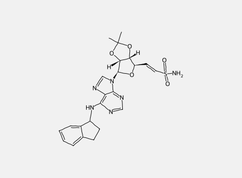 CC1(C)O[C@@H]2[C@H](O1)[C@@H](C=CS(N)(=O)=O)O[C@H]2n1cnc2c(NC3CCc4ccccc43)ncnc21